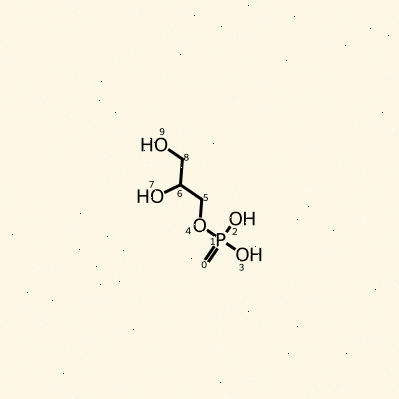 C=P(O)(O)OCC(O)CO